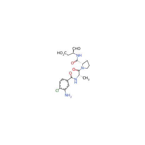 C[C@H](NC(=O)c1ccc(Cl)c(N)c1)C(=O)N1CCC[C@H]1C(=O)N[C@H](C=O)CC(=O)O